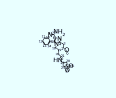 COCCc1nc2c(N)nc3ccccc3c2n1CCCCNC1CS(=O)(=O)C1